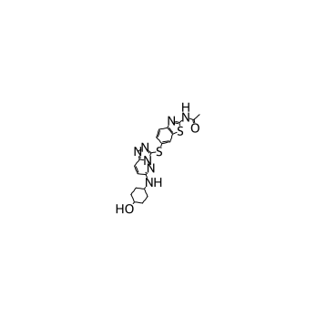 CC(=O)Nc1nc2ccc(Sc3nnc4ccc(NC5CCC(O)CC5)nn34)cc2s1